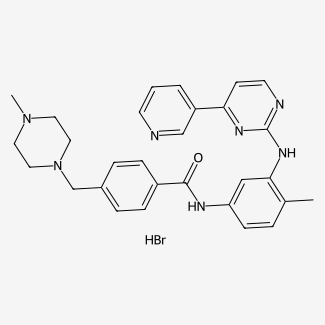 Br.Cc1ccc(NC(=O)c2ccc(CN3CCN(C)CC3)cc2)cc1Nc1nccc(-c2cccnc2)n1